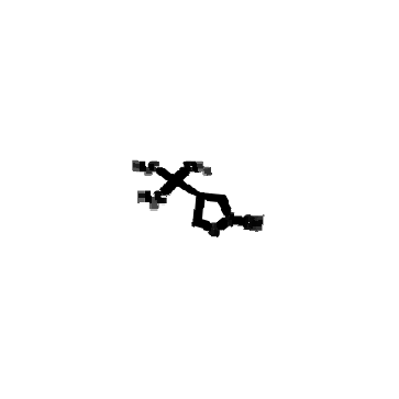 CC(C)(C)[C@@H]1COB(O)C1